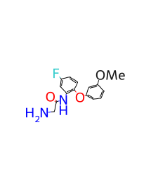 COc1cccc(Oc2ccc(F)cc2NC(=O)CN)c1